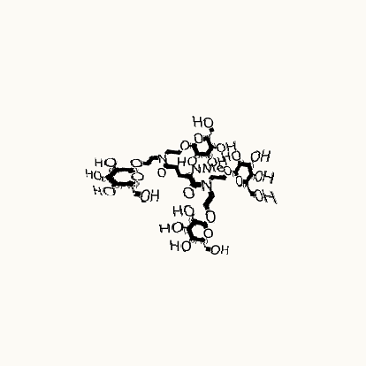 CN[C@@H](CCC(=O)N(CCO[C@H]1O[C@H](CO)[C@@H](O)[C@H](O)[C@@H]1O)CCO[C@H]1O[C@H](CO)[C@@H](O)[C@H](O)[C@@H]1O)C(=O)N(CCOC1O[C@H](CO)[C@@H](O)[C@H](O)[C@@H]1O)CCO[C@H]1O[C@H](CO)[C@@H](O)[C@H](O)[C@@H]1O